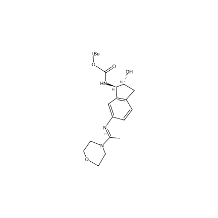 C/C(=N\c1ccc2c(c1)[C@@H](NC(=O)OC(C)(C)C)[C@H](O)C2)N1CCOCC1